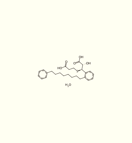 O.O=C(O)CCS[C@H](c1ccccc1CCCCCCCCc1ccccc1)[C@@H](O)C(=O)O